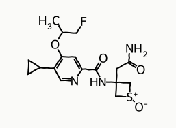 CC(CF)Oc1cc(C(=O)NC2(CC(N)=O)C[S+]([O-])C2)ncc1C1CC1